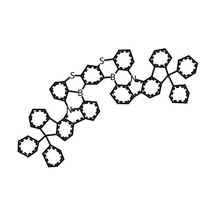 c1ccc(C2(c3ccccc3)c3ccccc3-c3c2ccc2c4cccc5c4n(c32)-c2cccc3c2B5c2cc4c(cc2S3)Sc2cccc3c2B4c2cccc4c5ccc6c(c5n-3c24)-c2ccccc2C6(c2ccccc2)c2ccccc2)cc1